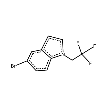 FC(F)(F)Cn1ccc2cc(Br)ccc21